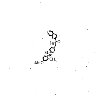 COc1ccc(S(=O)(=O)c2ccc(CNC(=O)c3ccc4ccncc4c3)cc2)c(C)c1